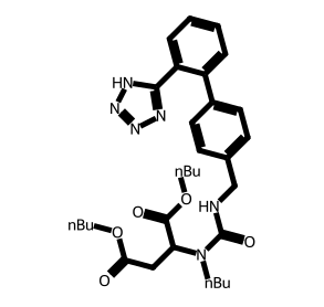 CCCCOC(=O)CC(C(=O)OCCCC)N(CCCC)C(=O)NCc1ccc(-c2ccccc2-c2nnn[nH]2)cc1